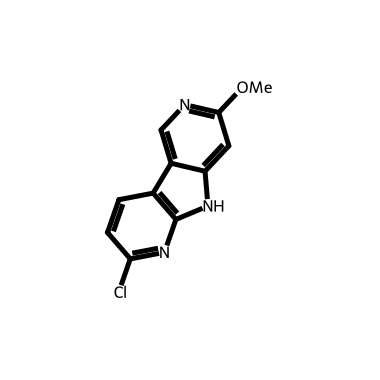 COc1cc2[nH]c3nc(Cl)ccc3c2cn1